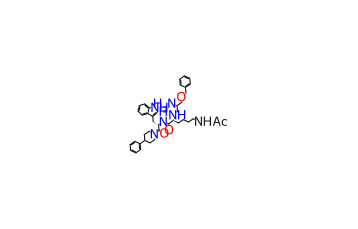 CC(=O)NCCCC[C@H](NC[C@H](N)COCc1ccccc1)C(=O)N[C@@H](Cc1c[nH]c2ccccc12)C(=O)N1CCC(c2ccccc2)CC1